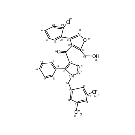 O=C(c1nnn(Cc2cc(C(F)(F)F)cc(C(F)(F)F)c2)c1-c1ccccc1)c1c(-c2ccccc2Cl)noc1CO